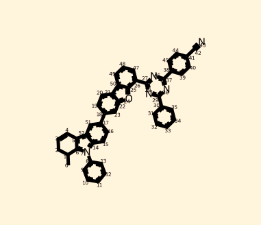 CC1CC=Cc2c1n(-c1ccccc1)c1ccc(-c3ccc4c(c3)oc3c(-c5nc(-c6ccccc6)nc(-c6ccc(C#N)cc6)n5)cccc34)cc21